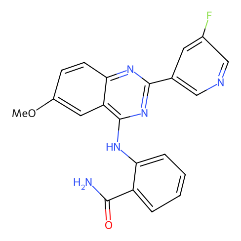 COc1ccc2nc(-c3cncc(F)c3)nc(Nc3ccccc3C(N)=O)c2c1